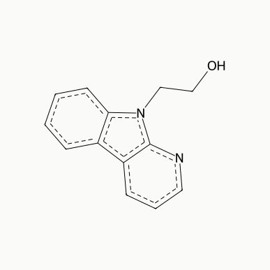 OCCn1c2ccccc2c2cccnc21